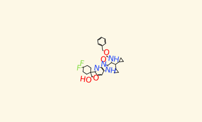 O=C(NC(c1nc2nc(C3(C(=O)O)CCC(F)(F)CC3)ccc2[nH]1)C(C1CC1)C1CC1)OCc1ccccc1